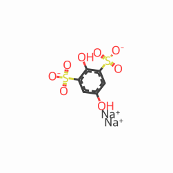 O=S(=O)([O-])c1cc(O)cc(S(=O)(=O)[O-])c1O.[Na+].[Na+]